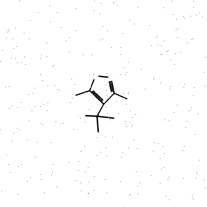 CC(C)(C#N)c1c(C(F)(F)F)n[nH]c1Br